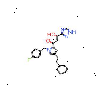 O=C(C=C(O)c1nc[nH]n1)c1cc(CCc2ccccc2)cn1Cc1ccc(F)cc1